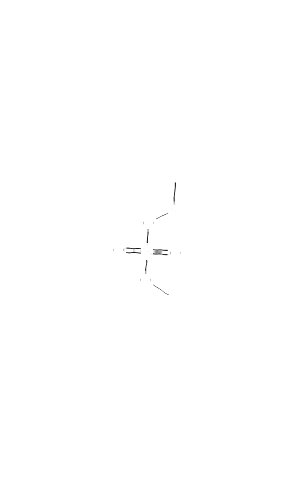 COS(=O)(=O)OSC